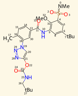 CNS(=O)(=O)c1cc(C(C)(C)C)cc(NC(=O)c2ccc(C)c(-n3cc(OC(=O)NCC(C)(C)C)nn3)c2)c1OC